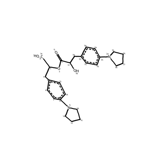 O=C(OC(Cc1ccc(N2CCCC2)cc1)C(=O)O)C(O)Cc1ccc(N2CCCC2)cc1